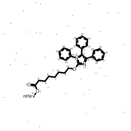 CCCCCCOC(=O)CCCCCCCOc1nc(-c2ccccc2)c(-c2ccccc2)n1-c1ccccc1